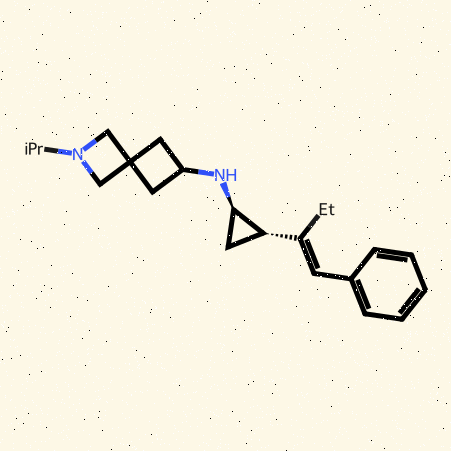 CC/C(=C\c1ccccc1)[C@@H]1C[C@H]1NC1CC2(C1)CN(C(C)C)C2